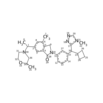 CC(c1cc2c(c(C(F)(F)F)c1)CN(c1cccc(C(c3nncn3C)C3CCC3)c1)C2=O)N1CCO[C@H](C)C1